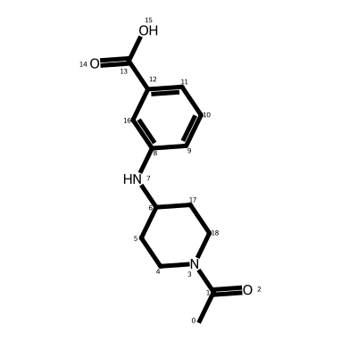 CC(=O)N1CCC(Nc2cccc(C(=O)O)c2)CC1